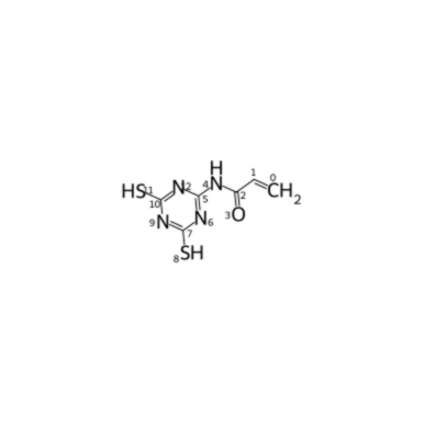 C=CC(=O)Nc1nc(S)nc(S)n1